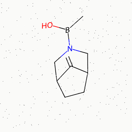 C=C1C2CCC1CN(B(C)O)C2